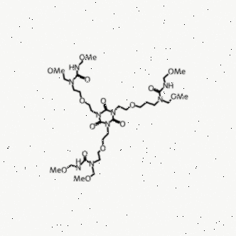 COCNC(=O)N(CCCOCCn1c(=O)n(CCOCCN(COC)C(=O)NCOC)c(=O)n(CCOCCN(COC)C(=O)NCOC)c1=O)COC